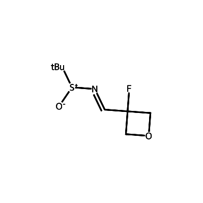 CC(C)(C)[S+]([O-])N=CC1(F)COC1